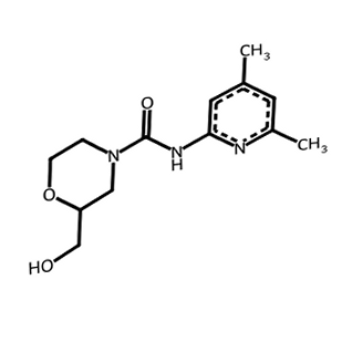 Cc1cc(C)nc(NC(=O)N2CCOC(CO)C2)c1